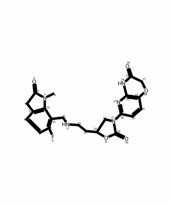 CN1C(=O)Cc2ccc(F)c(CNCCC3CN(c4ccc5c(n4)NC(=O)CO5)C(=O)O3)c21